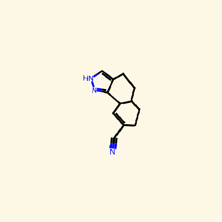 N#CC1=CC2c3n[nH]cc3CCC2CC1